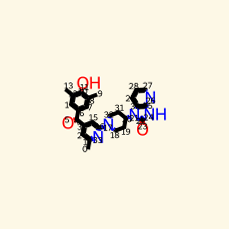 Cc1cc(C(=O)c2cc(C)c(O)c(C)c2)cc(N2CCC(n3c(=O)[nH]c4ncccc43)CC2)n1